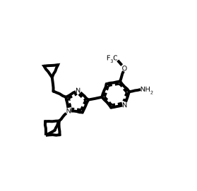 Nc1ncc(-c2cn(C34CC(C3)C4)c(CC3CC3)n2)cc1OC(F)(F)F